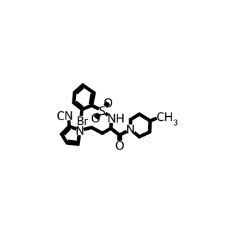 CC1CCN(C(=O)C(CCn2cccc2C#N)NS(=O)(=O)c2ccccc2Br)CC1